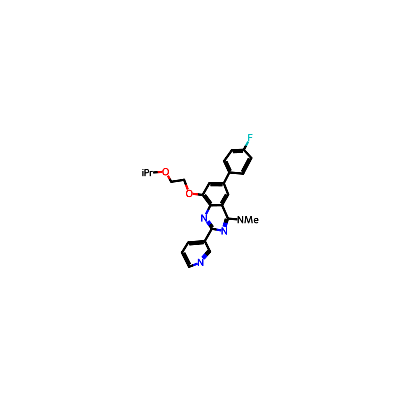 CNc1nc(-c2cccnc2)nc2c(OCCOC(C)C)cc(-c3ccc(F)cc3)cc12